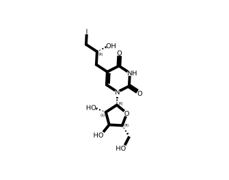 O=c1[nH]c(=O)n([C@@H]2O[C@H](CO)C(O)[C@@H]2O)cc1C[C@@H](O)CI